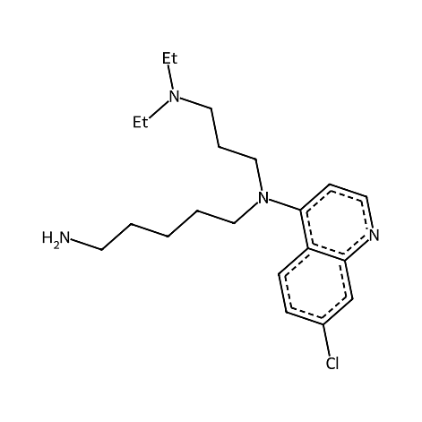 CCN(CC)CCCN(CCCCCN)c1ccnc2cc(Cl)ccc12